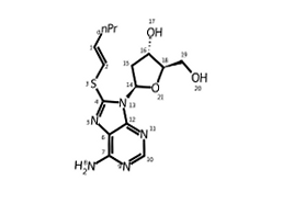 CCC/C=C/Sc1nc2c(N)ncnc2n1[C@H]1C[C@H](O)[C@@H](CO)O1